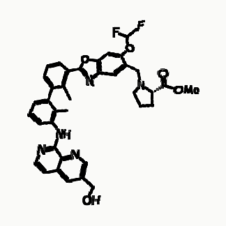 COC(=O)[C@@H]1CCCN1Cc1cc2nc(-c3cccc(-c4cccc(Nc5nccc6cc(CO)cnc56)c4C)c3C)oc2cc1OC(F)F